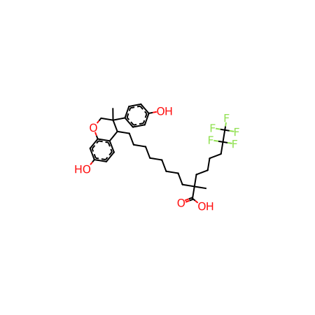 CC(CCCCCCCCC1c2ccc(O)cc2OCC1(C)c1ccc(O)cc1)(CCCCC(F)(F)C(F)(F)F)C(=O)O